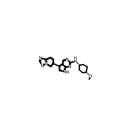 CO[C@H]1CC[C@@H](Nc2ncc3c(-c4ccc5ncnn5c4)c[nH]c3n2)CC1